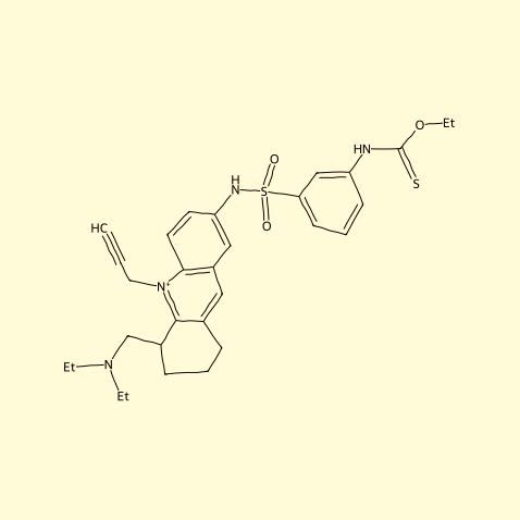 C#CC[n+]1c2c(cc3cc(NS(=O)(=O)c4cccc(NC(=S)OCC)c4)ccc31)CCCC2CN(CC)CC